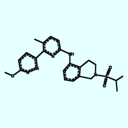 COc1ccc(-c2nc(Nc3cccc4c3CCN(S(=O)(=O)C(C)C)C4)ccc2C)nn1